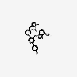 Cn1ccc(C[C@@]2(N)CCCN(c3cnc(-c4ccc(F)cc4)cc3Cn3cnc4c(N)nccc43)C2)n1